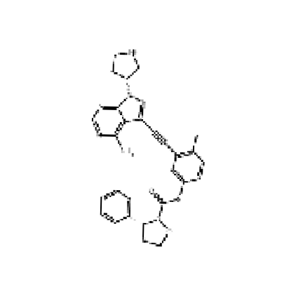 Cc1ccc(NC(=O)N2OCC[C@@H]2c2ccccc2)cc1C#Cc1nn([C@@H]2CCNC2)c2ncnc(N)c12